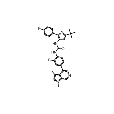 Cc1nn(C)c2cncc(-c3ccc(NC(=O)Nc4cc(C(C)(C)C)nn4-c4ccc(F)cc4)c(F)c3)c12